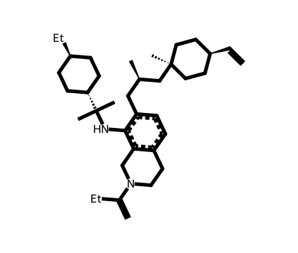 C=C[C@H]1CC[C@@](C)(C[C@H](C)Cc2ccc3c(c2NC(C)(C)[C@H]2CC[C@H](CC)CC2)CN(C(=C)CC)CC3)CC1